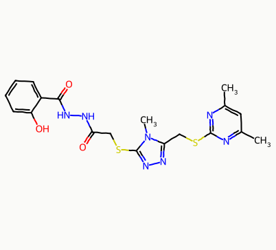 Cc1cc(C)nc(SCc2nnc(SCC(=O)NNC(=O)c3ccccc3O)n2C)n1